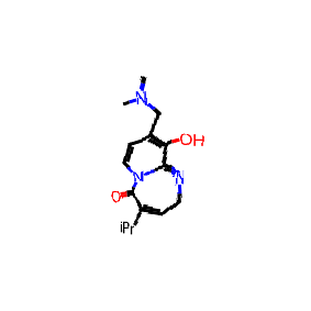 CC(C)C1=CCN=C2C(O)=C(CN(C)C)C=CN2C1=O